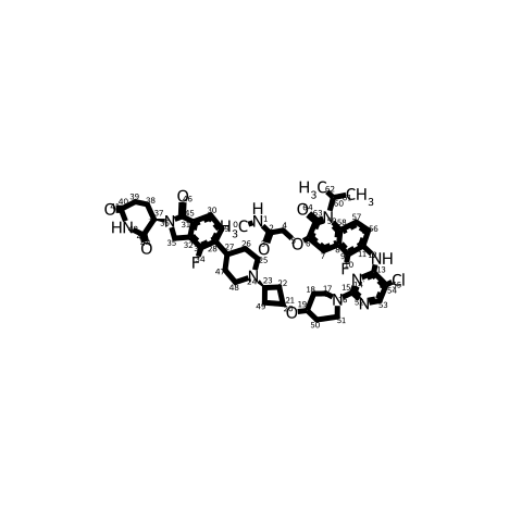 CNC(=O)COc1cc2c(F)c(Nc3nc(N4CCC(O[C@H]5C[C@H](N6CCC(c7ccc8c(c7F)CN([C@@H]7CCC(=O)NC7=O)C8=O)CC6)C5)CC4)ncc3Cl)ccc2n(C(C)C)c1=O